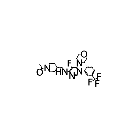 CC(=O)N1CCC(CNc2ncnc(N3CCOC[C@@H]3c3ccc(C(F)(F)F)cc3)c2F)CC1